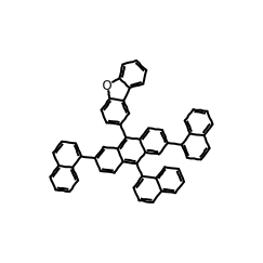 c1ccc2c(-c3ccc4c(-c5cccc6ccccc56)c5cc(-c6cccc7ccccc67)ccc5c(-c5ccc6oc7ccccc7c6c5)c4c3)cccc2c1